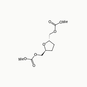 COC(=O)OC[C@@H]1CC[C@@H](COC(=O)OC)O1